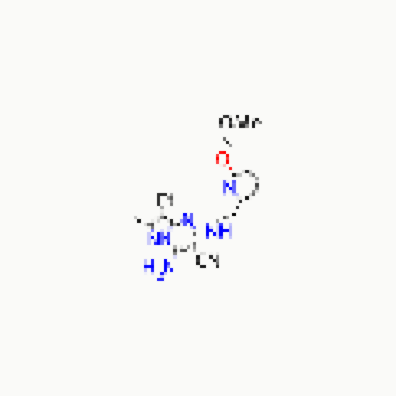 CCc1c(C)nn2c(N)c(C#N)c(NCCc3cccc(OCCOC)n3)nc12